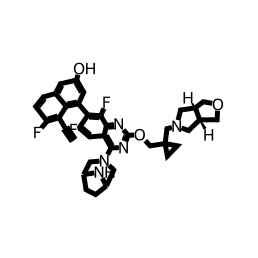 C#Cc1c(F)ccc2cc(O)cc(-c3c(F)cc4c(N5CC6CCC(C5)N6)nc(OCC5(CN6C[C@H]7COC[C@@H]7C6)CC5)nc4c3F)c12